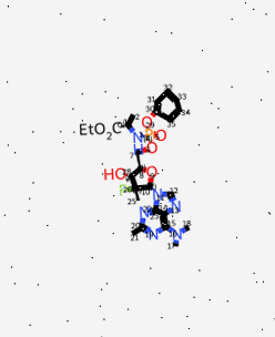 CCOC(=O)[C@H](C)N[P@@](=O)(OC[C@H]1O[C@@H](n2cnc3c(N(C)C)nc(C)nc32)[C@](C)(F)[C@@H]1O)Oc1ccccc1